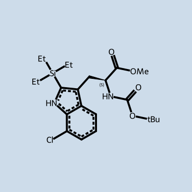 CC[Si](CC)(CC)c1[nH]c2c(Cl)cccc2c1C[C@H](NC(=O)OC(C)(C)C)C(=O)OC